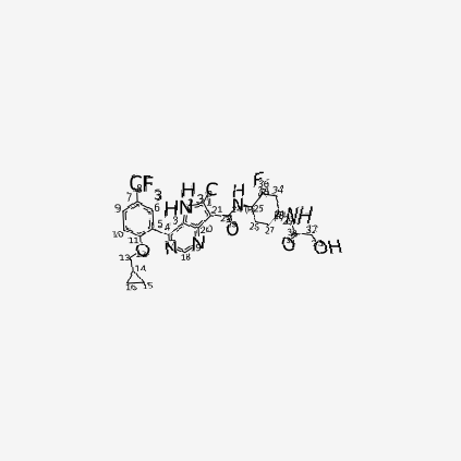 Cc1[nH]c2c(-c3cc(C(F)(F)F)ccc3OCC3CC3)ncnc2c1C(=O)N[C@@H]1CC[C@@H](NC(=O)CO)C[C@H]1F